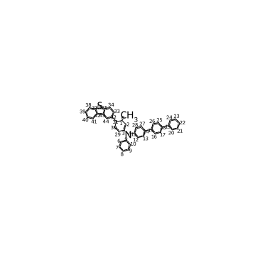 CC1C=C(N(c2ccccc2)c2ccc(-c3ccc(-c4ccccc4)cc3)cc2)C=CC1c1ccc2sc3ccccc3c2c1